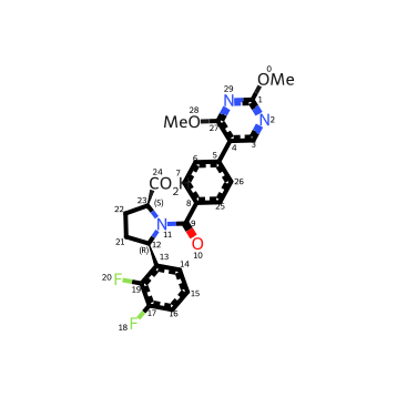 COc1ncc(-c2ccc(C(=O)N3[C@@H](c4cccc(F)c4F)CC[C@H]3C(=O)O)cc2)c(OC)n1